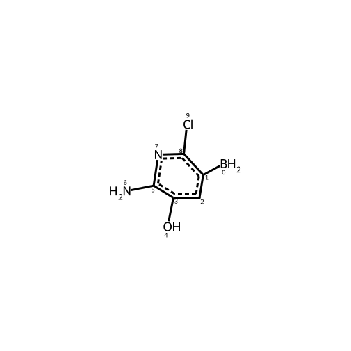 Bc1cc(O)c(N)nc1Cl